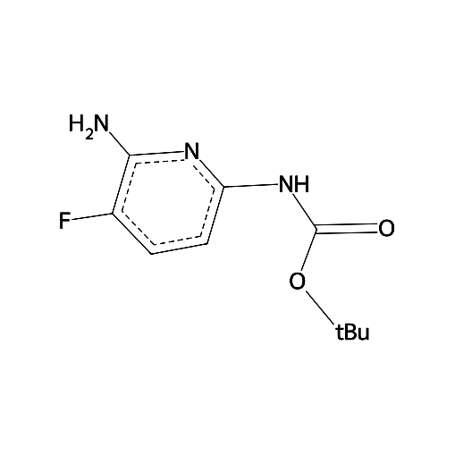 CC(C)(C)OC(=O)Nc1ccc(F)c(N)n1